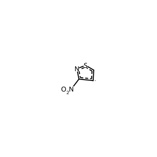 O=[N+]([O-])c1[c]csn1